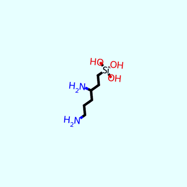 NCCCC(N)CC[Si](O)(O)O